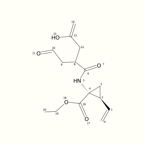 C=C[C@@H]1C[C@]1(NC(=O)C(CC=O)CC(=C)O)C(=O)OCC